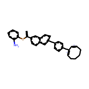 C=C(Sc1ccccc1N)c1ccc2cc(-c3ccc(C4=C/CCCC/C=C\4)cc3)ccc2c1